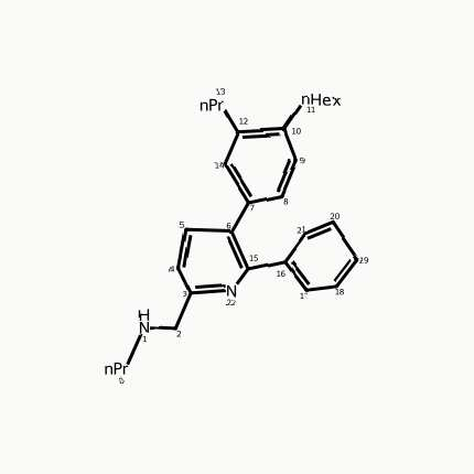 [CH2]CCNCc1ccc(-c2ccc(CCCCCC)c(CCC)c2)c(-c2ccccc2)n1